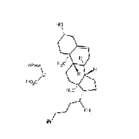 CC(C)CCCC(C)[C@H]1CC[C@H]2[C@@H]3CC=C4C[C@@H](O)CC[C@]4(C)[C@H]3CC[C@]12C.CCCCCOC(=O)O